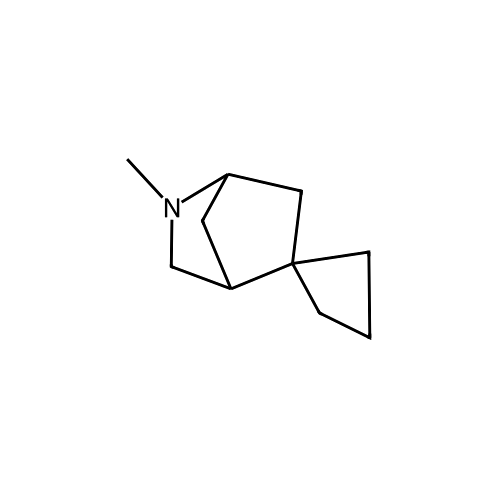 CN1CC2CC1CC21CCC1